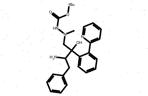 CN(CC(O)(c1ccccc1-c1ccccn1)C(N)Cc1ccccc1)NC(=O)OC(C)(C)C